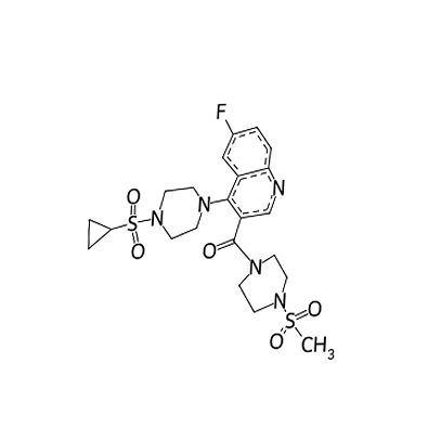 CS(=O)(=O)N1CCN(C(=O)c2cnc3ccc(F)cc3c2N2CCN(S(=O)(=O)C3CC3)CC2)CC1